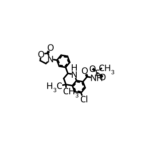 CC1(C)CC(c2cccc(N3CCOC3=O)c2)Nc2c(C(=O)NS(C)(=O)=O)cc(Cl)cc21